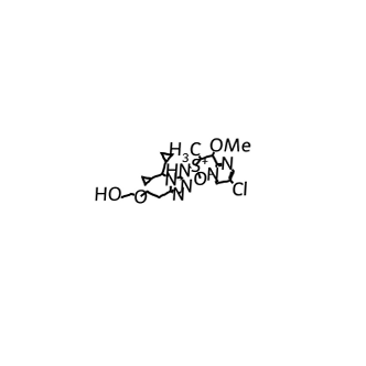 COC(c1ncc(Cl)cn1)C(C)[S+]([O-])Nc1nnc(CCOCCO)n1C(C1CC1)C1CC1